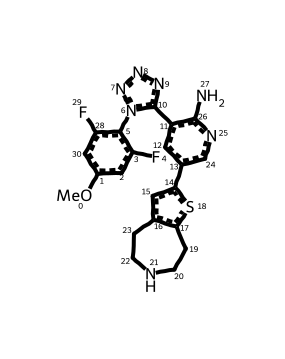 COc1cc(F)c(-n2nnnc2-c2cc(-c3cc4c(s3)CCNCC4)cnc2N)c(F)c1